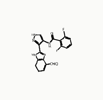 O=CC1=CCCc2[nH]c(-c3n[nH]cc3NC(=O)c3c(F)cccc3F)nc21